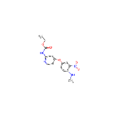 CCOC(=O)Nc1cc(Oc2ccc(NC)c([N+](=O)[O-])c2)ccn1